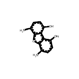 Nc1ccc(O)c2c1oc1c(N)ccc(O)c12